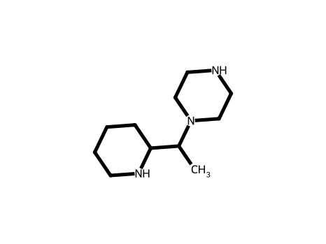 CC(C1CCCCN1)N1CCNCC1